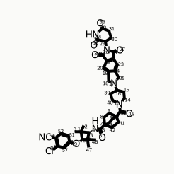 CC1(C)[C@H](NC(=O)C23CCC(C(=O)N4CCC(N5Cc6cc7c(cc6C5)C(=O)N(C5CCC(=O)NC5=O)C7=O)CC4)(CC2)CC3)C(C)(C)[C@H]1Oc1ccc(C#N)c(Cl)c1